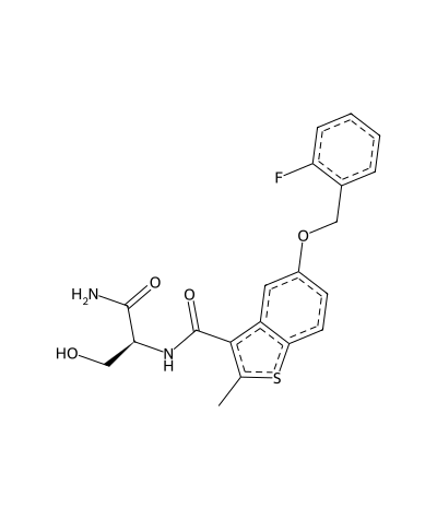 Cc1sc2ccc(OCc3ccccc3F)cc2c1C(=O)N[C@@H](CO)C(N)=O